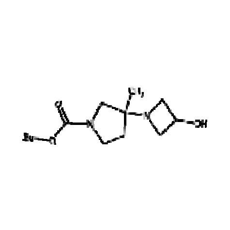 CC(C)(C)OC(=O)N1CCC(C)(N2CC(O)C2)C1